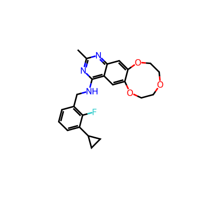 Cc1nc(NCc2cccc(C3CC3)c2F)c2cc3c(cc2n1)OCCOCCO3